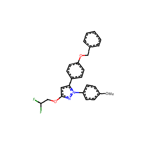 COc1ccc(-n2nc(OCC(F)F)cc2-c2ccc(OCc3ccccc3)cc2)cc1